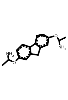 CC(N)Oc1ccc2c(c1)Cc1cc(OC(C)N)ccc1-2